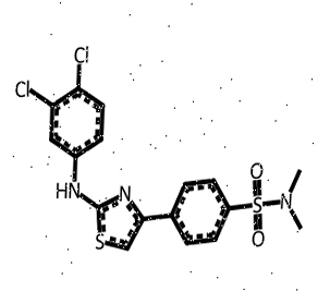 CN(C)S(=O)(=O)c1ccc(-c2csc(Nc3ccc(Cl)c(Cl)c3)n2)cc1